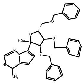 NC1NC=Nn2c1ccc2[C@]1(O)O[C@H](COCc2ccccc2)[C@@H](OCc2ccccc2)[C@H]1OCc1ccccc1